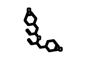 C=CC(CC1CCC2OC2C1)OC(C=C)CC1CCC2OC2C1